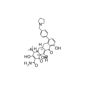 CN(C)C1C(O)=C(C(N)=O)C(=O)[C@@]2(O)C(O)=C3C(=O)c4c(O)ccc(-c5ccc(CN6CCCC6)cc5)c4C[C@@H]3C[C@H]12